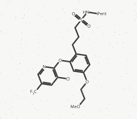 CCCC(C)NS(=O)(=O)CCCc1ccc(OCCOC)cc1Oc1ncc(C(F)(F)F)cc1Cl